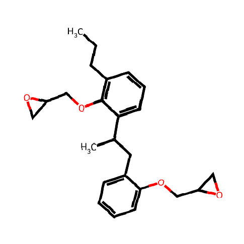 CCCc1cccc(C(C)Cc2ccccc2OCC2CO2)c1OCC1CO1